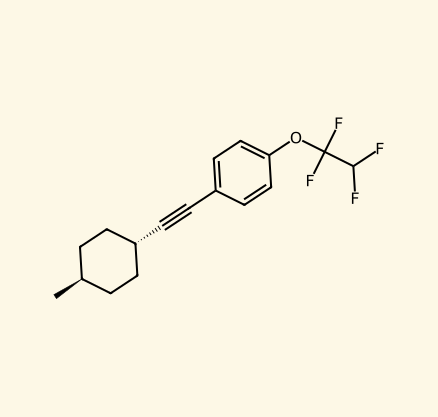 C[C@H]1CC[C@H](C#Cc2ccc(OC(F)(F)C(F)F)cc2)CC1